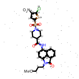 COCCCN1C(=O)c2cccc3c(NC(=O)C4CCN(S(=O)(=O)c5cc([N+](=O)[O-])c(Cl)s5)CC4)ccc1c23